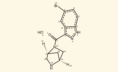 Cl.O=C(c1n[nH]c2ccc(Br)cc12)N1C[C@@H]2C[C@H]1CN2